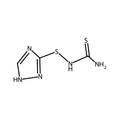 NC(=S)NSc1nc[nH]n1